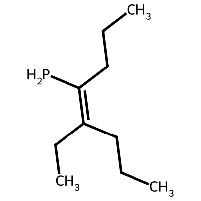 CCC/C(P)=C(/CC)CCC